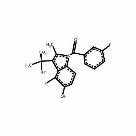 Cc1c([C@](C)(C(=O)O)C(C)C)c2c(F)c(O)ccc2n1C(=O)c1cccc(F)c1